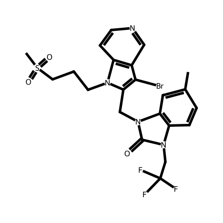 Cc1ccc2c(c1)n(Cc1c(Br)c3cnccc3n1CCCS(C)(=O)=O)c(=O)n2CC(F)(F)F